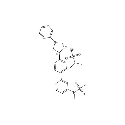 CC(C)S(=O)(=O)N[C@H]1CN(c2ccccc2)C[C@@H]1c1ccc(-c2cccc(N(C)S(C)(=O)=O)c2)cc1